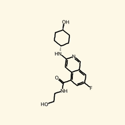 O=C(NCCO)c1cc(F)cc2cnc(N[C@H]3CC[C@H](O)CC3)cc12